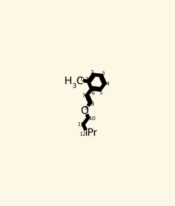 Cc1ccccc1C=COCCC(C)C